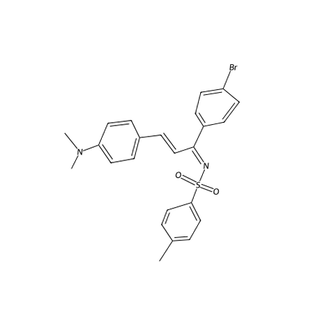 Cc1ccc(S(=O)(=O)/N=C(\C=C\c2ccc(N(C)C)cc2)c2ccc(Br)cc2)cc1